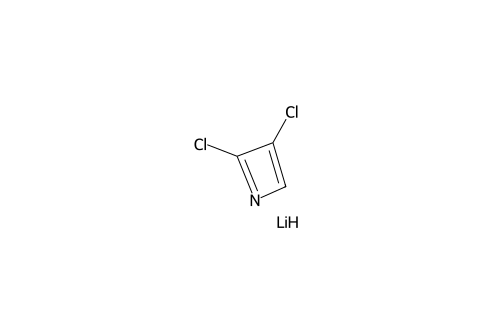 ClC1=CN=C1Cl.[LiH]